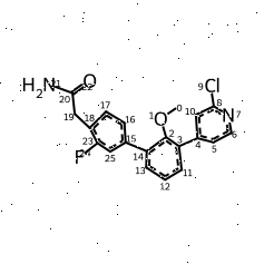 COc1c(-c2ccnc(Cl)c2)cccc1-c1ccc(CC(N)=O)c(F)c1